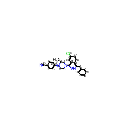 CC1CN(c2nnc(Cc3ccccc3)c3ccc(Cl)cc23)CCN1c1ccc(C#N)cc1